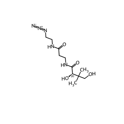 CC(C)(CO)[C@@H](O)C(=O)NCCC(=O)NCCN=[N+]=[N-]